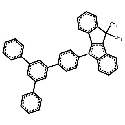 CC1(C)c2ccccc2-c2c1c1ccccc1n2-c1ccc(-c2cc(-c3ccccc3)cc(-c3ccccc3)c2)cc1